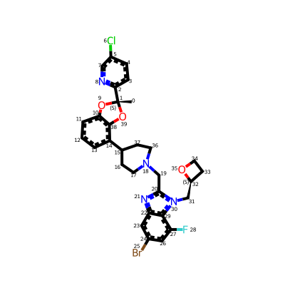 C[C@]1(c2ccc(Cl)cn2)Oc2cccc(C3CCN(Cc4nc5cc(Br)cc(F)c5n4C[C@@H]4CCO4)CC3)c2O1